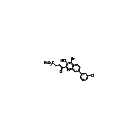 CCOC(=O)CCC(=O)c1nc2cc(-c3cccc(Cl)c3)ccc2c(Br)c1O